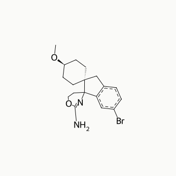 CO[C@H]1CC[C@]2(CC1)Cc1ccc(Br)cc1C21CCOC(N)=N1